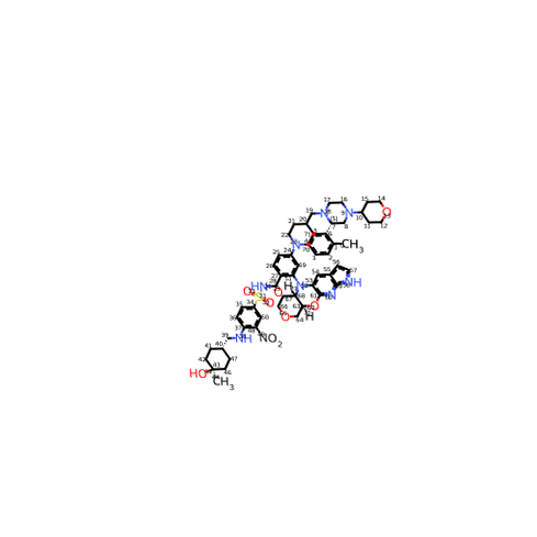 Cc1ccccc1[C@H]1CN(C2CCOCC2)CCN1CC1CCN(c2ccc(C(=O)NS(=O)(=O)c3ccc(NC[C@H]4CC[C@](C)(O)CC4)c([N+](=O)[O-])c3)c(N3c4cc5cc[nH]c5nc4O[C@H]4COCC[C@@H]43)c2)CC1